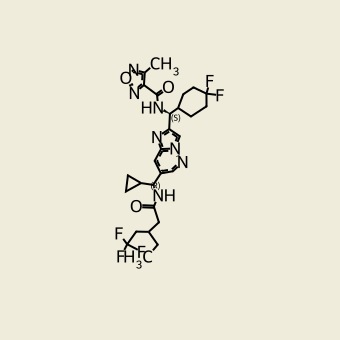 CCC(CC(=O)N[C@@H](c1cnn2cc([C@@H](NC(=O)c3nonc3C)C3CCC(F)(F)CC3)nc2c1)C1CC1)CC(F)(F)F